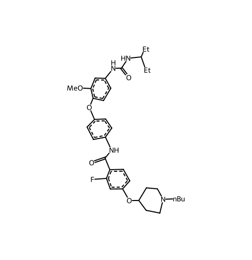 CCCCN1CCC(Oc2ccc(C(=O)Nc3ccc(Oc4ccc(NC(=O)NC(CC)CC)cc4OC)cc3)c(F)c2)CC1